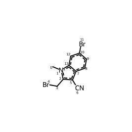 Cn1c(CBr)c(C#N)c2ccc(Br)cc21